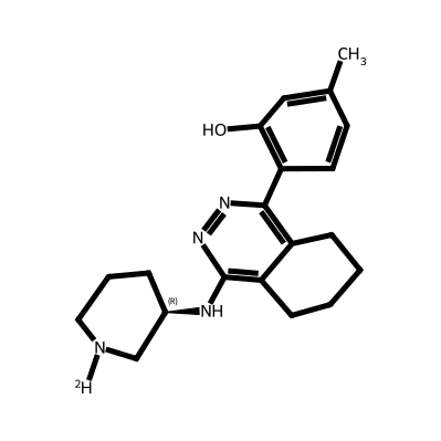 [2H]N1CCC[C@@H](Nc2nnc(-c3ccc(C)cc3O)c3c2CCCC3)C1